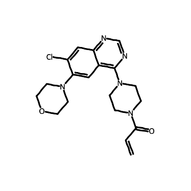 C=CC(=O)N1CCN(c2ncnc3cc(Cl)c(N4CCOCC4)cc23)CC1